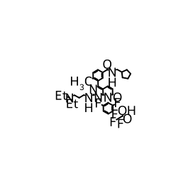 CCN(CC)CCCNc1nc(-c2cc(C(=O)NCC3CCCC3)ccc2C)c2ccc(=O)n(-c3c(F)cccc3F)c2n1.O=C(O)C(F)(F)F